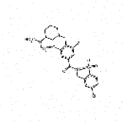 CCS(=O)(=O)c1ccc(Cl)cc1CNC(=O)c1cc(Cl)c(CN2CCC[C@H](N(C)C(=O)O)C2)c(OC)c1